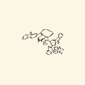 C=C(c1cc2c(cc1C1=Cc3ccccc3C1(C)C)sc1ccccc12)c1ccccccc(-c2ccc3c(c2)sc2ccccc23)c2ccccc12